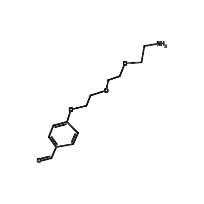 NCCOCCOCCOc1ccc(C=O)cc1